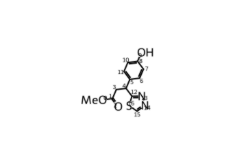 COC(=O)CC(c1ccc(O)cc1)c1nncs1